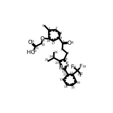 Cc1ccc(C(=O)CCc2sc(-c3ccccc3C(F)(F)F)nc2C(C)C)cc1OCC(=O)O